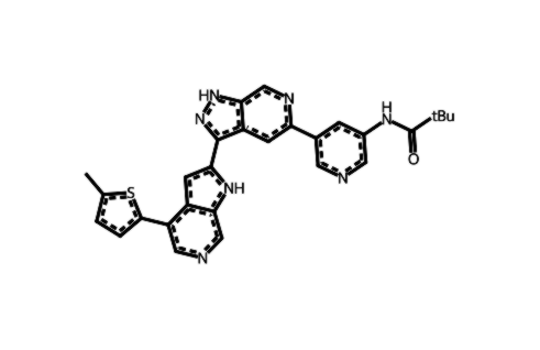 Cc1ccc(-c2cncc3[nH]c(-c4n[nH]c5cnc(-c6cncc(NC(=O)C(C)(C)C)c6)cc45)cc23)s1